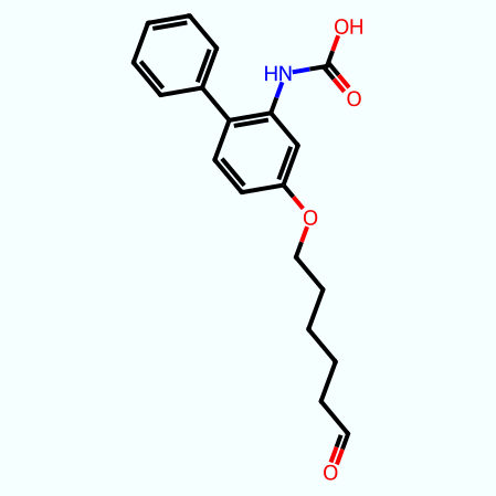 O=CCCCCCOc1ccc(-c2ccccc2)c(NC(=O)O)c1